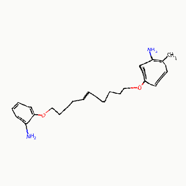 Cc1ccc(OCCCCCCCCCOc2ccccc2N)cc1N